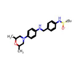 CC1CN(c2ccc(NCc3ccc(N[S+]([O-])C(C)(C)C)cc3)cc2)CC(C)O1